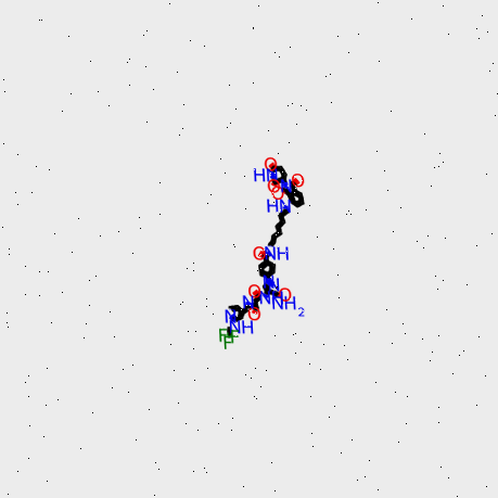 NC(=O)c1nn(-c2ccc(C(=O)NCCCCCCCCNc3cccc4c3C(=O)N(C3CCC(=O)NC3=O)C4=O)cc2)cc1NC(=O)c1coc(-c2ccnc(NCC(F)(F)F)c2)n1